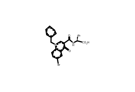 CC(C)[C@H](NC(=O)c1cn(Cc2ccccc2)c2ccc(Br)cc2c1=O)C(=O)O